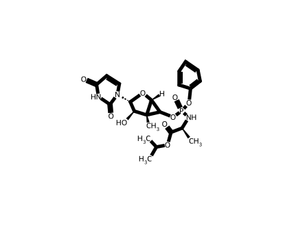 CC(C)OC(=O)[C@H](C)NP(=O)(Oc1ccccc1)OC1[C@H]2O[C@@H](n3ccc(=O)[nH]c3=O)[C@H](O)[C@@]12C